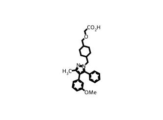 COc1cccc(-c2c(C)nn(CC3CCC(COCC(=O)O)CC3)c2-c2ccccc2)c1